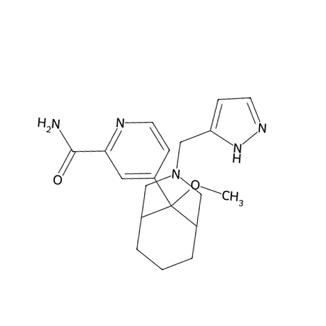 COC1(c2ccnc(C(N)=O)c2)C2CCCC1CN(Cc1ccn[nH]1)C2